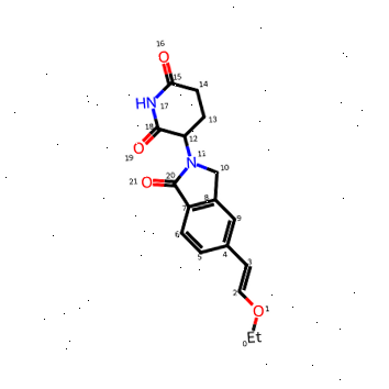 CCO/C=C/c1ccc2c(c1)CN(C1CCC(=O)NC1=O)C2=O